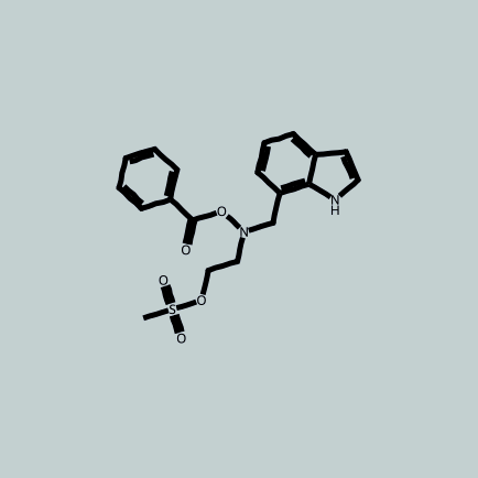 CS(=O)(=O)OCCN(Cc1cccc2cc[nH]c12)OC(=O)c1ccccc1